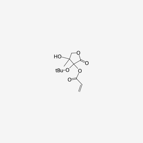 C=CC(=O)OC1(OC(C)(C)C)C(=O)OCC1(C)O